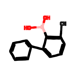 N#Cc1cccc(-c2ccccc2)c1B(O)O